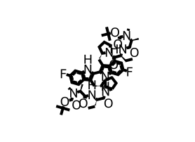 CC[C@H](NC(=O)[C@H](C)N(C)C(=O)OC(C)(C)C)C(=O)N1CCC[C@H]1Cc1c(-c2[nH]c3cc(F)ccc3c2C[C@@H]2C3CCC(C3)N2C(=O)[C@H](CC)NC(=O)[C@H](C)N(C)C(=O)OC(C)(C)C)[nH]c2cc(F)ccc12